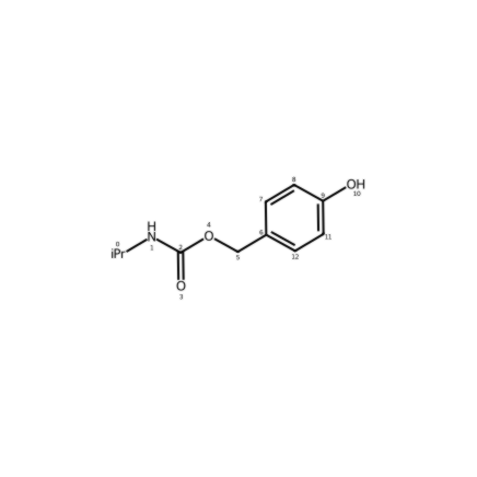 CC(C)NC(=O)OCc1ccc(O)cc1